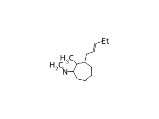 C=NC1CCCCC(CC=CCC)C1C